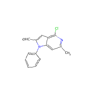 Cc1cc2c(cc(C=O)n2-c2ccccc2)c(Cl)n1